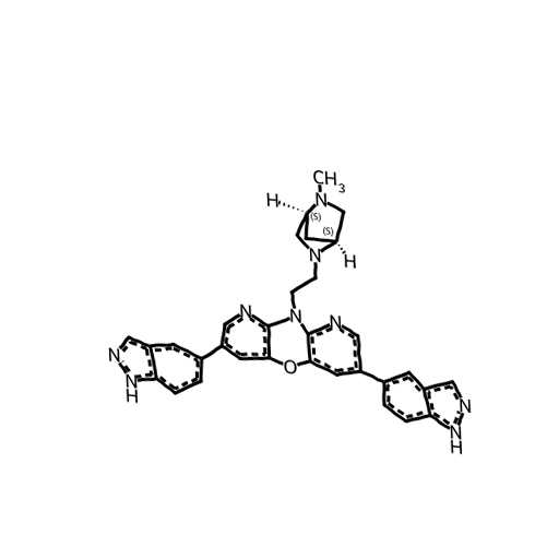 CN1C[C@@H]2C[C@H]1CN2CCN1c2ncc(-c3ccc4[nH]ncc4c3)cc2Oc2cc(-c3ccc4[nH]ncc4c3)cnc21